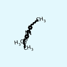 CCCCCCCc1ccc(-c2cnc(-c3ccc(OCC(C)OCCCC)cc3)nc2)cc1